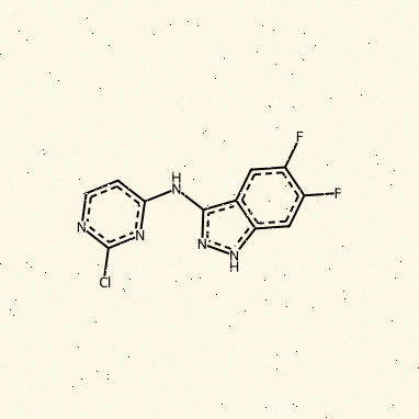 Fc1cc2[nH]nc(Nc3ccnc(Cl)n3)c2cc1F